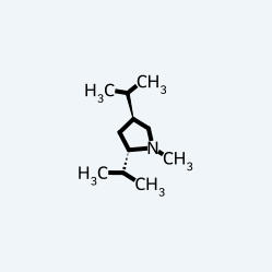 CC(C)[C@@H]1C[C@@H](C(C)C)N(C)C1